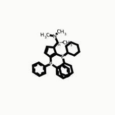 C[C@H](C1C=CC(P(c2ccccc2)c2ccccc2)=C1P(C1CCCCC1)C1CCCCC1)N(C)C